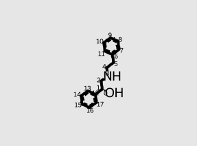 O[C@@H](CNCCc1cc[c]cc1)c1ccccc1